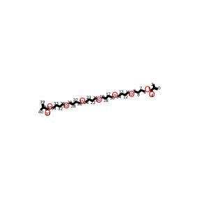 C=C(C)C(=O)OCCCCOCCCCOCCCCOCCCCOCCCCOCCCCOC(=O)C(=C)C